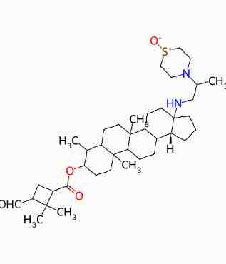 CC1C(OC(=O)C2CC(C=O)C2(C)C)CCC2(C)C1CCC1(C)C3CCC4(NCC(C)N5CC[S+]([O-])CC5)CCC[C@@H]4C3CCC21